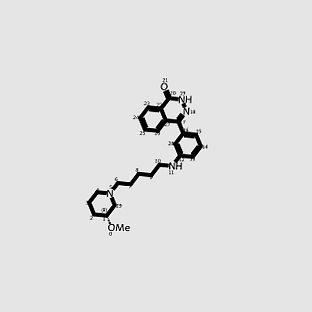 CO[C@@H]1CCCN(CCCCCNc2cccc(-c3n[nH]c(=O)c4ccccc34)c2)C1